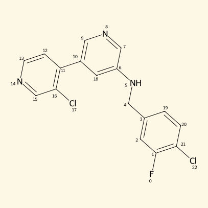 Fc1cc(CNc2cncc(-c3ccncc3Cl)c2)ccc1Cl